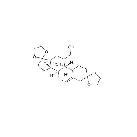 C[C@]12CC(CO)[C@H]3[C@@H](CC=C4CC5(CC[C@@H]43)OCCO5)[C@@H]1CCC21OCCO1